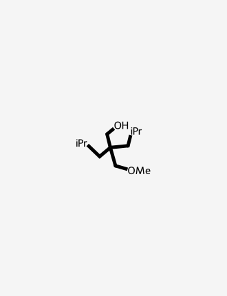 COCC(CO)(CC(C)C)CC(C)C